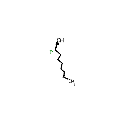 C#C[C@@H](F)CCCCCCC